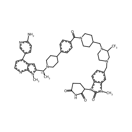 C[C@@H](c1cc2c(-c3ccc(N)nc3)ccnc2n1C)N1CCC(c2ccc(C(=O)N3CCC(CN4CCN(Cc5ccc6c(c5)n(C)c(=O)n6C5CCC(=O)NC5=O)CC4C(F)(F)F)CC3)cc2)CC1